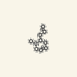 c1ccc(-c2nc(-c3ccccc3)nc(-c3cc(-c4cc(-c5cccc6c5oc5ccccc56)ccn4)cc(-c4cc(-c5cccc6c5oc5ccccc56)ccn4)c3)n2)cc1